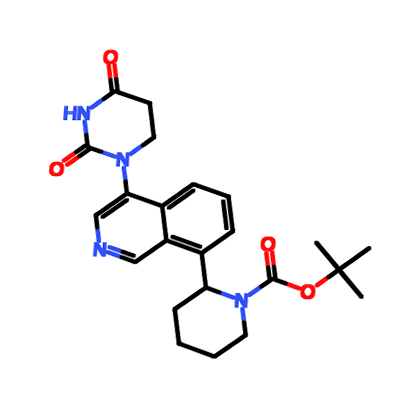 CC(C)(C)OC(=O)N1CCCCC1c1cccc2c(N3CCC(=O)NC3=O)cncc12